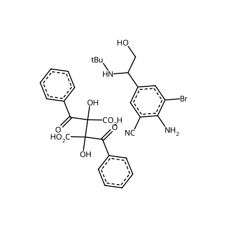 CC(C)(C)NC(CO)c1cc(Br)c(N)c(C#N)c1.O=C(O)C(O)(C(=O)c1ccccc1)C(O)(C(=O)O)C(=O)c1ccccc1